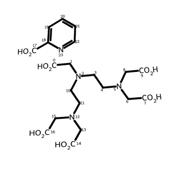 O=C(O)CN(CCN(CC(=O)O)CC(=O)O)CCN(CC(=O)O)CC(=O)O.O=C(O)c1ccccn1